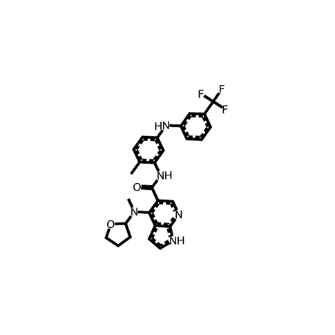 Cc1ccc(Nc2cccc(C(F)(F)F)c2)cc1NC(=O)c1cnc2[nH]ccc2c1N(C)C1CCCO1